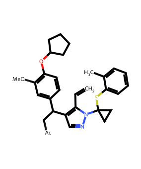 C=Cc1c(C(CC(C)=O)c2ccc(OC3CCCC3)c(OC)c2)cnn1C1(Sc2ccccc2C)CC1